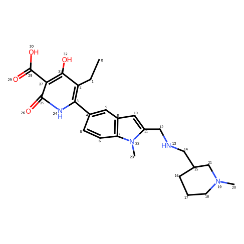 CCc1c(-c2ccc3c(c2)cc(CNCC2CCCN(C)C2)n3C)[nH]c(=O)c(C(=O)O)c1O